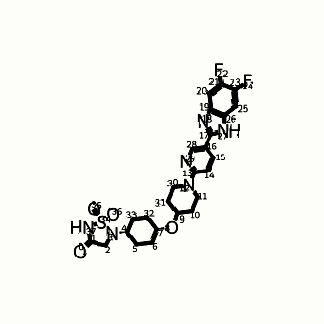 O=C1CN([C@H]2CC[C@@H](OC3CCN(c4ccc(-c5nc6cc(F)c(F)cc6[nH]5)cn4)CC3)CC2)S(=O)(=O)N1